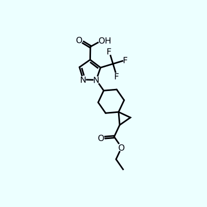 CCOC(=O)C1CC12CCC(n1ncc(C(=O)O)c1C(F)(F)F)CC2